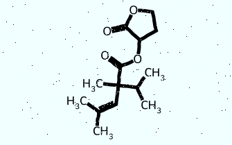 CC(C)=CC(C)(C(=O)OC1CCOC1=O)C(C)C